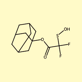 O=C(OC12CC3CC(CC(C3)C1)C2)C(F)(F)SO